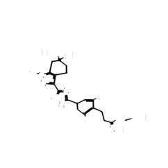 CCOC(=N)CCC1=C(C)CC(c2noc(-c3nn(C)c4c3CCC(C)(C)C4)n2)C=C1C